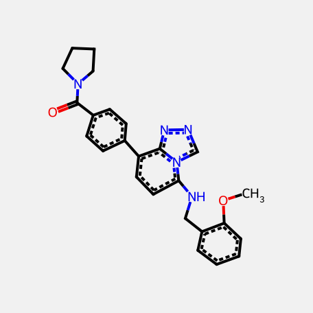 COc1ccccc1CNc1ccc(-c2ccc(C(=O)N3CCCC3)cc2)c2nncn12